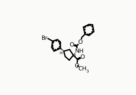 COC(=O)[C@@]1(NC(=O)OCc2ccccc2)CC[C@@H](c2ccc(Br)cc2)C1